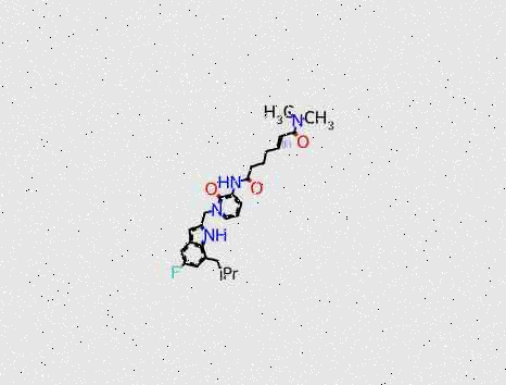 CC(C)Cc1cc(F)cc2cc(Cn3cccc(NC(=O)CCC/C=C/C(=O)N(C)C)c3=O)[nH]c12